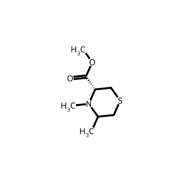 COC(=O)[C@@H]1CSCC(C)N1C